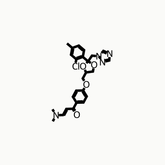 Cc1ccc(C2(Cn3cncn3)OCC(COc3ccc(C(=O)C=CN(C)C)cc3)O2)c(Cl)c1